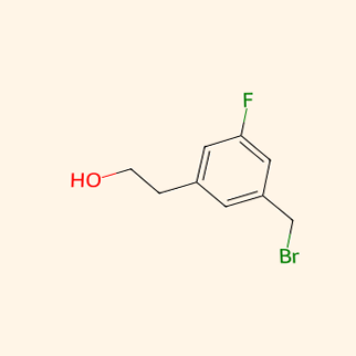 OCCc1cc(F)cc(CBr)c1